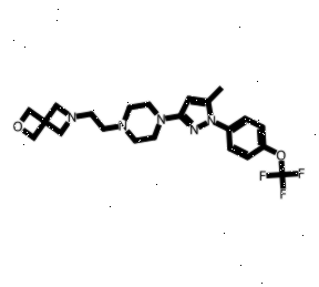 Cc1cc(N2CCN(CCN3CC4(COC4)C3)CC2)nn1-c1ccc(OC(F)(F)F)cc1